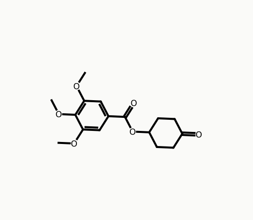 COc1cc(C(=O)OC2CCC(=O)CC2)cc(OC)c1OC